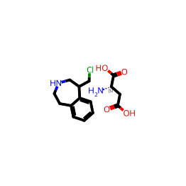 ClCC1CNCCc2ccccc21.N[C@@H](CC(=O)O)C(=O)O